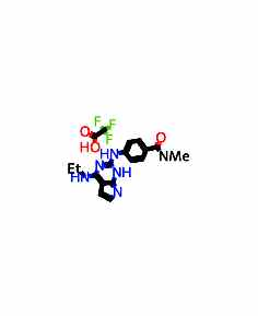 CCNc1nc(Nc2ccc(C(=O)NC)cc2)[nH]c2nccc1-2.O=C(O)C(F)(F)F